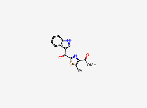 COC(=O)c1nc(C(=O)c2c[nH]c3ccccc23)sc1C(C)C